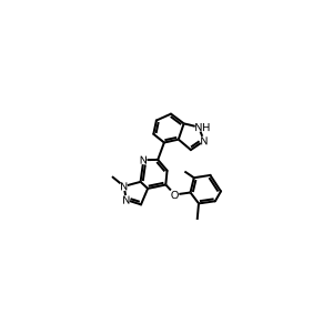 Cc1cccc(C)c1Oc1cc(-c2cccc3[nH]ncc23)nc2c1cnn2C